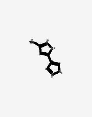 CC(C)(C)c1cc(C2=C[N]N=C2)on1